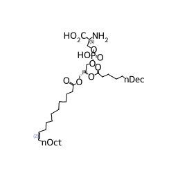 CCCCCCCC/C=C\CCCCCCCCCC(=O)OC[C@H](COP(=O)(O)OC[C@H](N)C(=O)O)OC(=O)CCCCCCCCCCCCCC